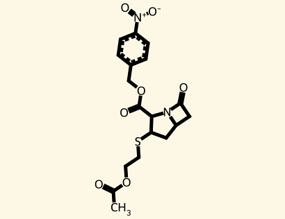 CC(=O)OCCSC1CC2CC(=O)N2C1C(=O)OCc1ccc([N+](=O)[O-])cc1